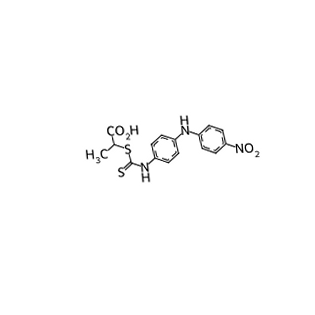 CC(SC(=S)Nc1ccc(Nc2ccc([N+](=O)[O-])cc2)cc1)C(=O)O